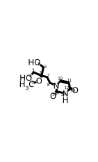 COC(CO)(CO)CCn1ccc(=O)[nH]c1=O